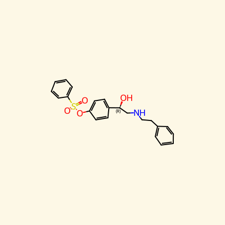 O=S(=O)(Oc1ccc([C@@H](O)CNCCc2ccccc2)cc1)c1ccccc1